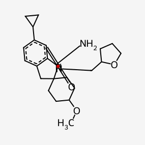 COC1CCC2(CC1)Cc1ccc(C3CC3)cc1C21N=C(N)N(CC2CCCO2)C1=O